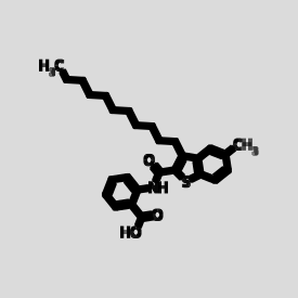 CCCCCCCCCCCc1c(C(=O)Nc2ccccc2C(=O)O)sc2ccc(C)cc12